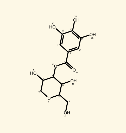 O=C(OC1C(O)COC(CO)C1O)c1cc(O)c(O)c(O)c1